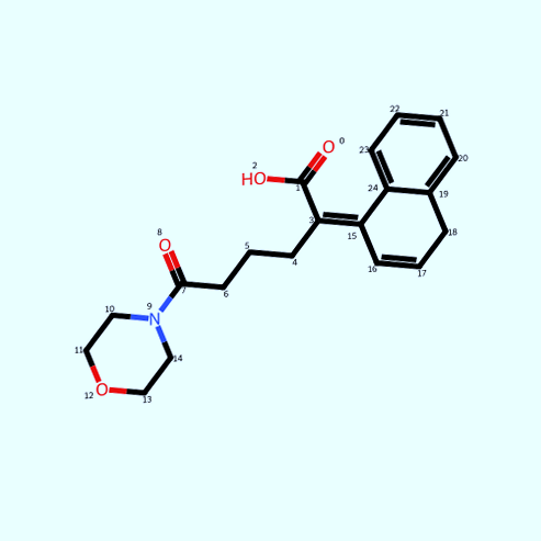 O=C(O)C(CCCC(=O)N1CCOCC1)=C1C=CCc2ccccc21